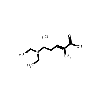 CCN(CC)CC/C=C(\C)C(=O)O.Cl